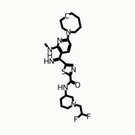 CNc1nc(N2CCCCCCC2)ccc1C(=N)c1cnc(C(=O)NC2CCCN(CC(F)F)C2)s1